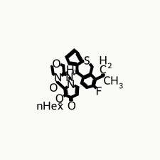 C=C(C)c1c(F)ccc2c1CSc1ccccc1[C@H]2N1[C@@H]2COCCN2C(=O)c2c(OCCCCCC)c(=O)ccn21